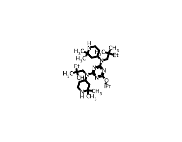 CCC(C)(C)CN(c1nc(OC(C)C)nc(N(CC(C)(C)CC)C2CCNC(C)(C)C2)n1)C1CCNC(C)(C)C1